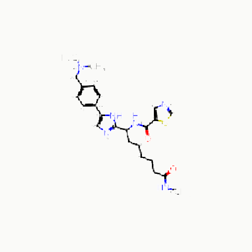 CNC(=O)CCCCCC(NC(=O)c1cncs1)c1ncc(-c2ccc(CN(C)C)cc2)[nH]1